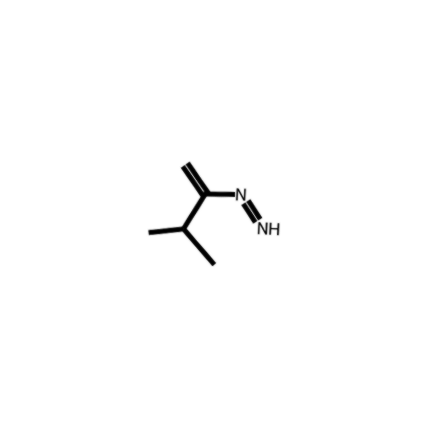 C=C(N=N)C(C)C